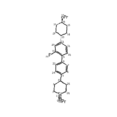 CCC[SiH]1CCC(c2ccc(-c3ccc([C@H]4CC[C@H](CCC)CC4)cc3F)cc2)CC1